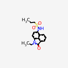 CCCS(=O)(=O)Nc1ccc2c3c(cccc13)C(=O)N2CC